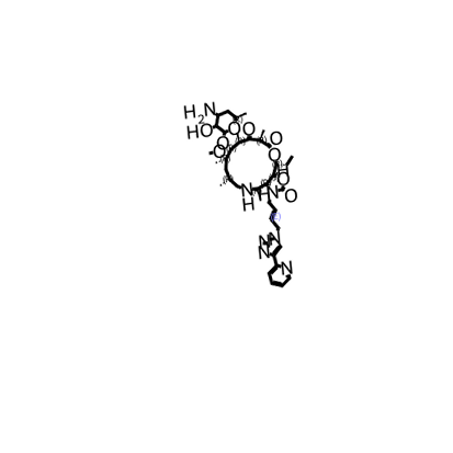 CC[C@H]1OC(=O)[C@H](C)C(=O)[C@H](C)[C@@H](OC2O[C@H](C)CC(N)C2O)[C@](C)(OC)C[C@@H](C)CN[C@H](C)[C@@H]2[C@@H]1OC(=O)N2C/C=C/Cn1cc(-c2ccccn2)nn1